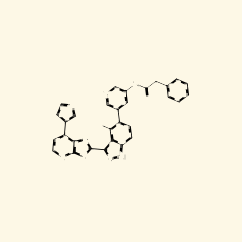 O=C(Cc1ccccc1)Nc1cncc(-c2ccc3[nH]nc(-c4nc5c(-c6ccoc6)ccnc5[nH]4)c3c2F)c1